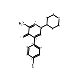 Cc1nn(C2CCOCC2)cc(-c2ccc(F)cc2)c1=O